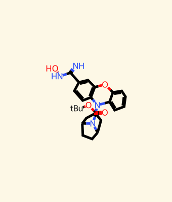 CC(C)(C)OC(=O)N1C2CCC1CC(N1c3ccccc3Oc3cc(C(=N)NO)ccc31)C2